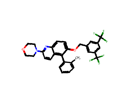 Cc1ccccc1-c1c(OCc2cc(C(F)(F)F)cc(C(F)(F)F)c2)ccc2nc(N3CCOCC3)ccc12